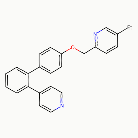 CCc1ccc(COc2ccc(-c3ccccc3-c3ccncc3)cc2)nc1